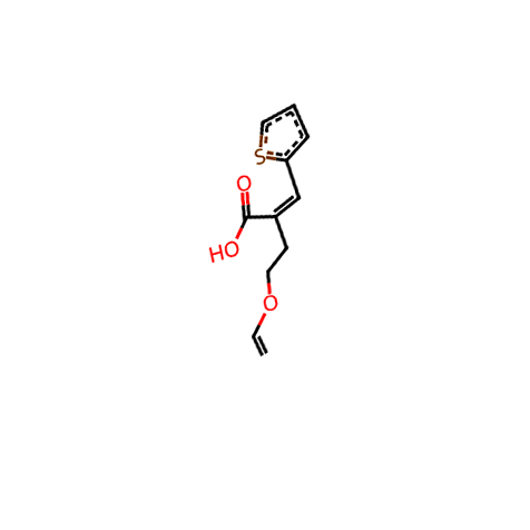 C=COCCC(=Cc1cccs1)C(=O)O